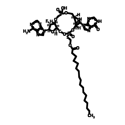 CCCCCCCCCCCCCCCCCC(=O)OCSP1(=O)OC[C@H]2O[C@@H](n3cnc4c(N)ncnc43)[C@H](F)[C@@H]2OCP(=O)(O)OC[C@H]2O[C@@H](n3cnc4c(=O)[nH]cnc43)[C@H](O1)[C@@H]2F